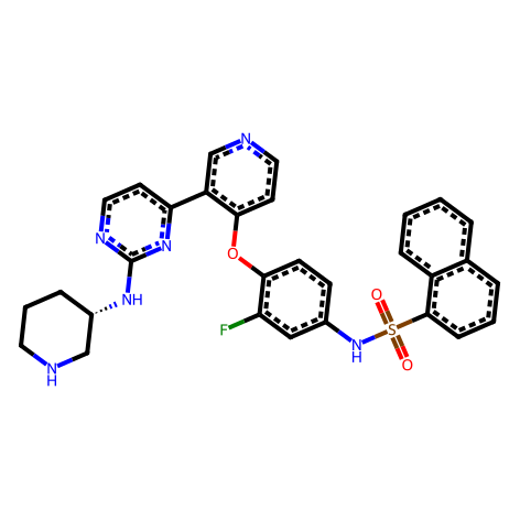 O=S(=O)(Nc1ccc(Oc2ccncc2-c2ccnc(N[C@H]3CCCNC3)n2)c(F)c1)c1cccc2ccccc12